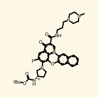 CN1CCN(CCCNC(=O)c2cn3c4c(c(N5CC[C@@H](NC(=O)OC(C)(C)C)C5)c(F)cc4c2=O)Oc2cc4ccccc4cc2-3)CC1